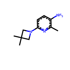 Cc1nc(N2CC(C)(C)C2)ccc1N